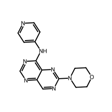 c1cc(Nc2ncnc3cnc(N4CCOCC4)nc23)ccn1